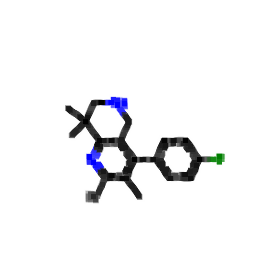 Cc1c(C(C)C)nc2c(c1-c1ccc(F)cc1)CNCC2(C)C